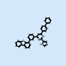 c1ccc(-c2ccc(-c3cc(-c4cccc(-c5cccc6c5oc5ccccc56)c4)nc(-c4cnc[nH]4)n3)cc2)cc1